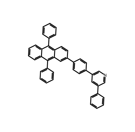 c1ccc(-c2cncc(-c3ccc(-c4ccc5c(-c6ccccc6)c6ccccc6c(-c6ccccc6)c5c4)cc3)c2)cc1